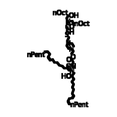 CCCCC/C=C\C/C=C\CCCCCCC(O)CN(CCCC(=O)OCCN1CCN(CCSSCCCN(CC(O)CCCCCCCC)CC(O)CCCCCCCC)CC1)CC(O)CCCCCC/C=C\C/C=C\CCCCC